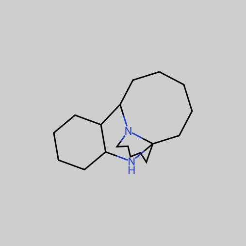 C1CCC2C3CCCCC3NC3(CC1)CCCCCN23